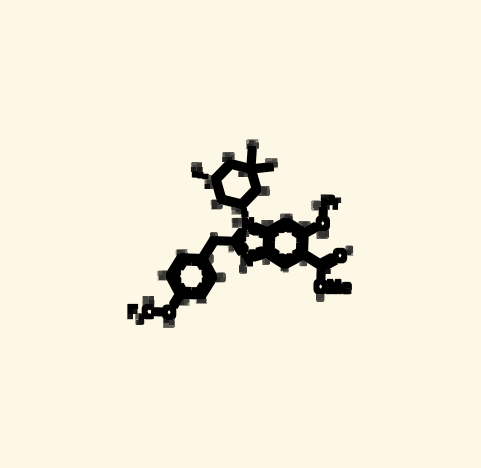 COC(=O)c1cc2nc(Cc3ccc(OC(F)(F)F)cc3)n([C@@H]3C[C@H](C)CC(C)(C)C3)c2cc1OC(C)C